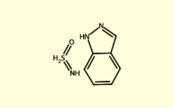 N=[SH2]=O.c1ccc2[nH]ncc2c1